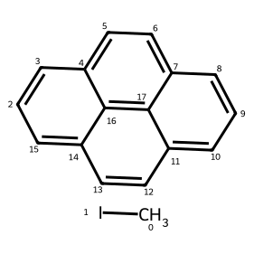 CI.c1cc2ccc3cccc4ccc(c1)c2c34